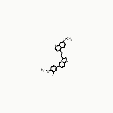 COc1ccc2c(OCc3nnc4n3CC(c3ccc(OC)c(F)c3)C=C4)ccnc2c1